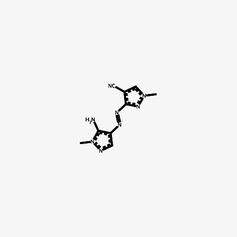 Cn1cc(C#N)c(N=Nc2cnn(C)c2N)n1